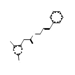 Cc1nc(S)sc1CC(=O)OCC=Cc1ccccc1